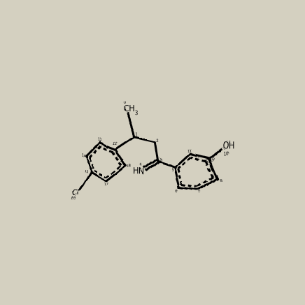 CC(CC(=N)c1cccc(O)c1)c1ccc(Cl)cc1